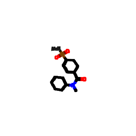 CNS(=O)(=O)C1CCC(C(=O)N(C)C2CCCCC2)CC1